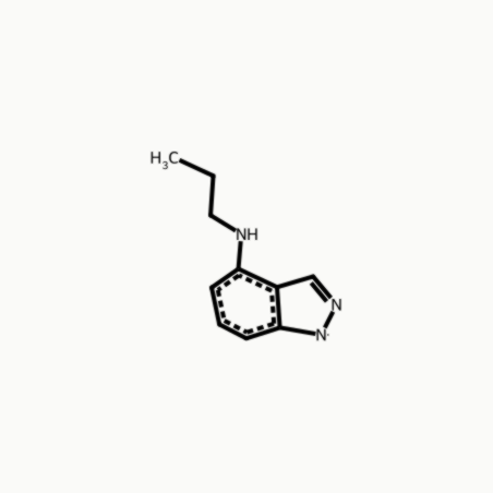 CCCNc1cccc2c1C=N[N]2